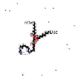 CC/C=C\C/C=C\C/C=C\C/C=C\C/C=C\C/C=C\CCC(=O)OC[C@@H](COC(=O)CCCCCCCCCCCCCCCCC)OC(=O)CCCCCCCCCCCCCCCCC